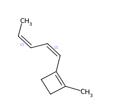 C/C=C\C=C/C1=C(C)CC1